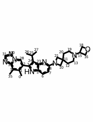 Cc1c(-c2[nH]c3ccc(N4CC5(CCN(C6COC6)CC5)C4)nc3c2C(C)C)cn2ncnc2c1C